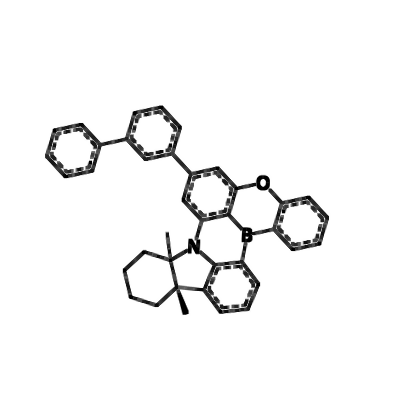 CC12CCCC[C@@]1(C)c1cccc3c1N2c1cc(-c2cccc(-c4ccccc4)c2)cc2c1B3c1ccccc1O2